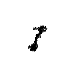 COc1cc(N)c(Cl)cc1C(=O)NC1CCN(CCCCCC(=O)NCCOCCOCCOCCC(=O)NC[C@H](O)[C@@H](O)[C@H](O)[C@H](O)CO)CC1